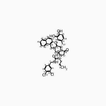 C=CCN(C(=O)NCc1ccc(Cl)c(Cl)c1)N1CC(=O)N2[C@@H](Cc3ccc(O)c(O)c3)C(=O)N(Cc3cccc4ccccc34)C[C@@H]21